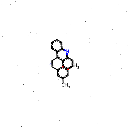 Cc1cc(C)cc(/C=C\c2c3ccccc3nc3ccccc23)c1